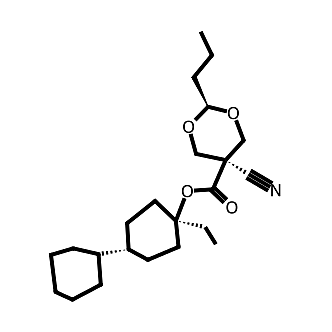 CCC[C@H]1OC[C@@](C#N)(C(=O)O[C@]2(CC)CC[C@@H](C3CCCCC3)CC2)CO1